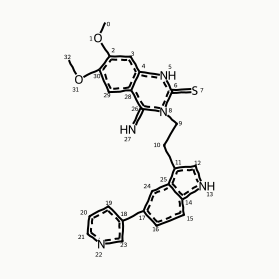 COc1cc2[nH]c(=S)n(CCc3c[nH]c4ccc(-c5cccnc5)cc34)c(=N)c2cc1OC